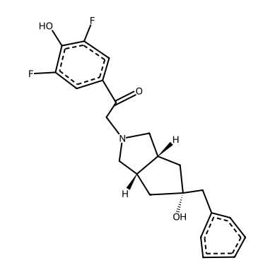 O=C(CN1C[C@@H]2C[C@@](O)(Cc3ccccc3)C[C@@H]2C1)c1cc(F)c(O)c(F)c1